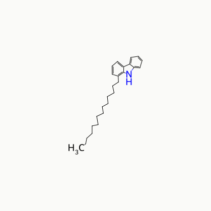 CCCCCCCCCCCCCCc1cccc2c1[nH]c1ccccc12